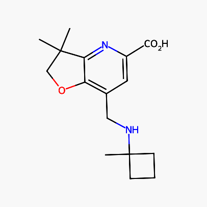 CC1(NCc2cc(C(=O)O)nc3c2OCC3(C)C)CCC1